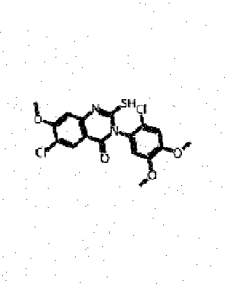 COc1cc2nc(S)n(-c3cc(OC)c(OC)cc3Cl)c(=O)c2cc1Cl